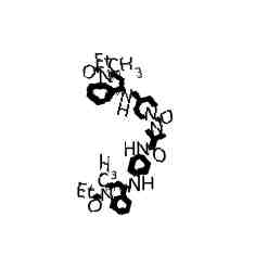 CCC(=O)N1c2ccccc2[C@H](NCC2CCN(C(=O)N3CC(C(=O)Nc4ccc(N[C@@H]5C[C@H](C)N(C(=O)CC)c6ccccc65)cc4)C3)CC2)C[C@@H]1C